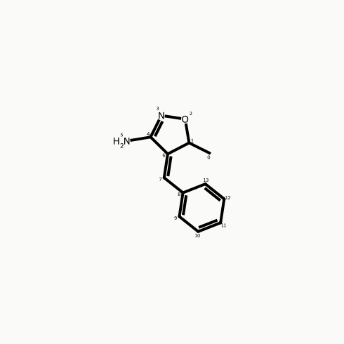 CC1ON=C(N)C1=Cc1ccccc1